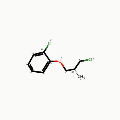 C[C@@H](CCl)COc1ccccc1Cl